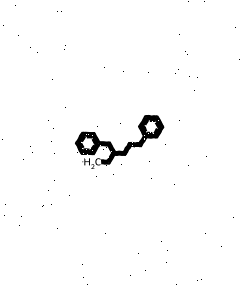 [CH2]CC(CCCc1ccccc1)Cc1ccccc1